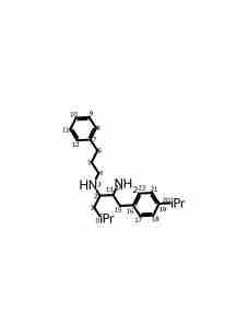 CC(C)CC(NCCCc1ccccc1)C(N)Cc1ccc(C(C)C)cc1